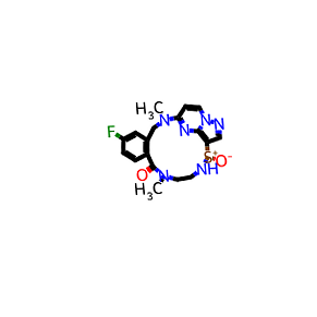 CN1CCN[S+]([O-])c2cnn3ccc(nc23)N(C)Cc2cc(F)ccc2C1=O